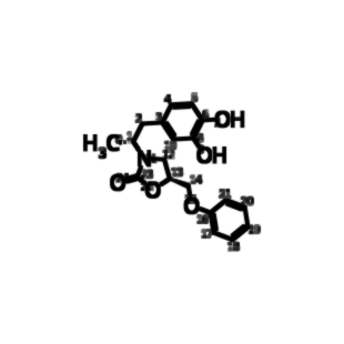 C[C@H](Cc1ccc(O)c(O)c1)N1C[C@@H](COc2ccccc2)OC1=O